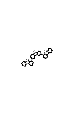 c1ccc2c(c1)oc1c(-c3ccc4sc5ccc(-c6cccc7c6oc6ccccc67)cc5c4c3)cccc12